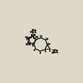 CC[C@@H]1C2CCc3nnn(CC)c3CCC21